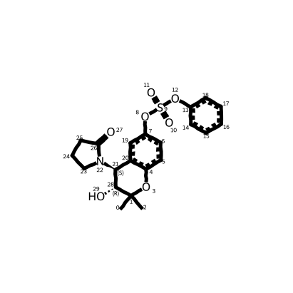 CC1(C)Oc2ccc(OS(=O)(=O)Oc3ccccc3)cc2[C@H](N2CCCC2=O)[C@H]1O